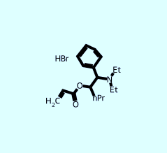 Br.C=CC(=O)OC(CCC)C(c1ccccc1)N(CC)CC